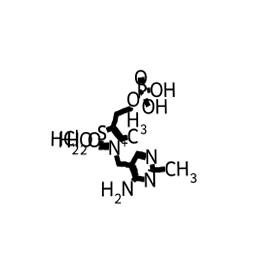 Cc1ncc(C[n+]2csc(CCOP(=O)(O)O)c2C)c(N)n1.Cl.O.O